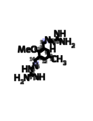 COc1c(/C=N\NC(=N)N)cc(C)cc1/C=N/NC(=N)N